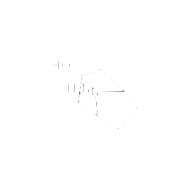 NN1C2CCC1CC(O)C2